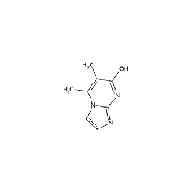 Cc1c(O)nc2nccn2c1C